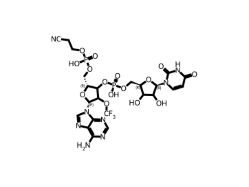 N#CCCOP(=O)(O)OC[C@H]1O[C@@H](n2cnc3c(N)ncnc32)C(OC(F)(F)F)C1OP(=O)(O)OC[C@H]1O[C@@H](n2ccc(=O)[nH]c2=O)C(O)C1O